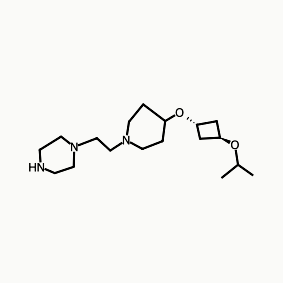 CC(C)O[C@H]1C[C@H](OC2CCN(CCN3CCNCC3)CC2)C1